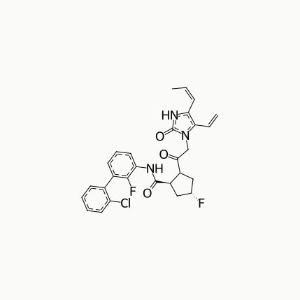 C=Cc1c(/C=C\C)[nH]c(=O)n1CC(=O)C1C[C@H](F)C[C@H]1C(=O)Nc1cccc(-c2ccccc2Cl)c1F